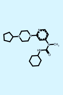 CN(C(=O)NC1CCCCC1)c1ccnc(N2CCN(C3CCCC3)CC2)c1